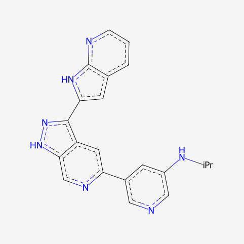 CC(C)Nc1cncc(-c2cc3c(-c4cc5cccnc5[nH]4)n[nH]c3cn2)c1